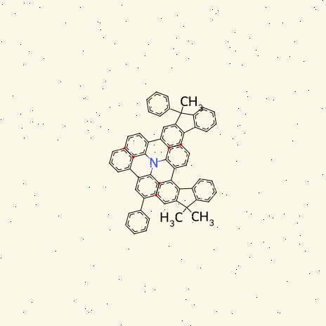 CC1(C)c2ccccc2-c2c(-c3ccccc3N(c3ccccc3-c3ccc4c(c3)C(C)(c3ccccc3)c3ccccc3-4)c3ccc(-c4ccccc4)cc3-c3ccccc3)cccc21